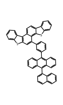 c1cc(-c2c3ccccc3c(-c3cccc4ccccc34)c3ccccc23)cc(-c2cc3sc4ccccc4c3c3ccc4c5ccccc5sc4c23)c1